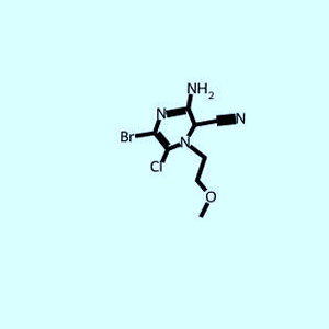 COCCN1C(Cl)=C(Br)N=C(N)C1C#N